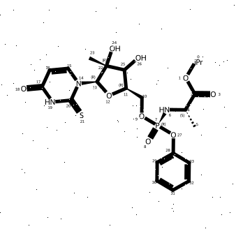 CC(C)OC(=O)[C@H](C)N[P@@](=O)(OC[C@H]1O[C@@H](n2ccc(=O)[nH]c2=S)[C@](C)(O)C1O)Oc1ccccc1